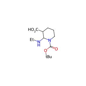 CCNC1C(C(=O)O)CCCN1C(=O)OC(C)(C)C